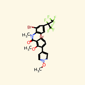 COc1c(C(=O)N(C)c2c(Br)cc(C(F)(C(F)(F)F)C(F)(F)F)cc2Br)cccc1-c1cc[n+](OC)cc1